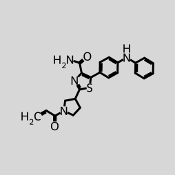 C=CC(=O)N1CCC(c2nc(C(N)=O)c(-c3ccc(Nc4ccccc4)cc3)s2)C1